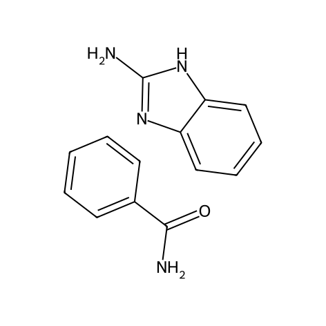 NC(=O)c1ccccc1.Nc1nc2ccccc2[nH]1